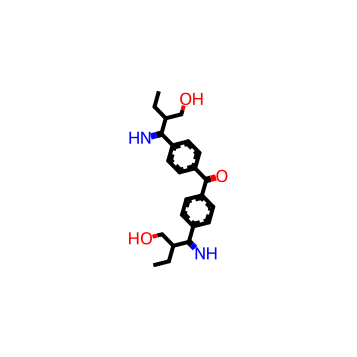 CCC(CO)C(=N)c1ccc(C(=O)c2ccc(C(=N)C(CC)CO)cc2)cc1